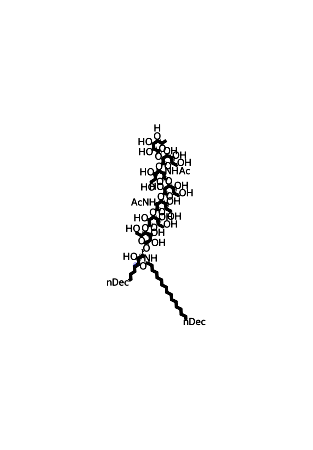 CCCCCCCCCCCCC/C=C/[C@@H](O)[C@H](CO[C@@H]1OC(CO)[C@@H](O[C@@H]2OC(CO)[C@H](O)[C@H](O[C@@H]3OC(CO)[C@@H](O)[C@H](O[C@@H]4OC(CO)[C@H](O)[C@H](O[C@@H]5OC(CO)[C@@H](O)[C@H](O[C@@H]6OC(CO)[C@H](O)[C@H](O)C6O[C@H]6OC(C)[C@@H](O)C(O)[C@@H]6O)C5NC(C)=O)C4O)C3NC(C)=O)C2O)[C@H](O)C1O)NC(=O)CCCCCCCCCCCCCCCCCCCCCCCCC